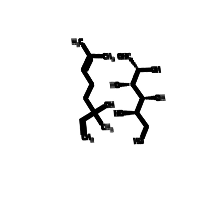 C=CC(C)(O)CCC=C(C)C.O=C[C@H](O)[C@@H](O)[C@H](O)[C@H](O)CO